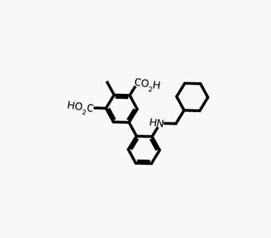 Cc1c(C(=O)O)cc(-c2ccccc2NCC2CCCCC2)cc1C(=O)O